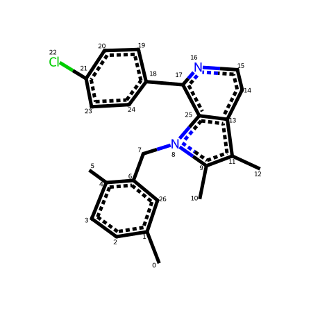 Cc1ccc(C)c(Cn2c(C)c(C)c3ccnc(-c4ccc(Cl)cc4)c32)c1